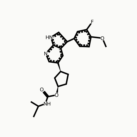 COc1ccc(-c2c[nH]c3ncc([C@H]4CC[C@@H](OC(=O)NC(C)C)C4)cc23)cc1F